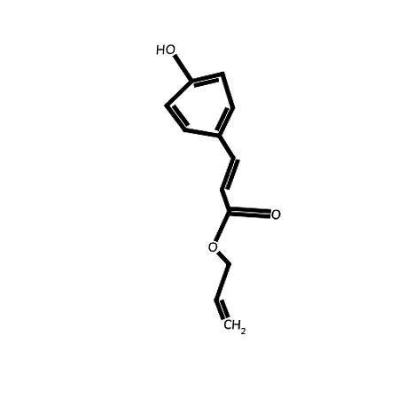 C=CCOC(=O)C=Cc1ccc(O)cc1